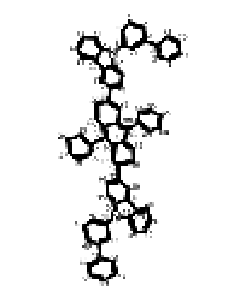 c1ccc(-c2cccc(-n3c4ccccc4c4cc(-c5ccc6c(-c7ccccc7)c7cc(-c8ccc9c(c8)c8ccccc8n9-c8cccc(-c9ccccc9)c8)ccc7c(-c7ccccc7)c6c5)ccc43)c2)cc1